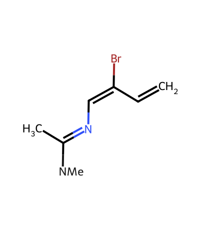 C=C/C(Br)=C\N=C(/C)NC